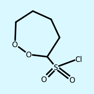 O=S(=O)(Cl)C1CCCCOO1